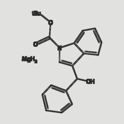 CC(C)(C)OC(=O)n1cc(C(O)c2ccccc2)c2ccccc21.[MgH2]